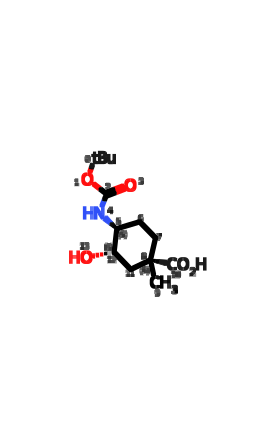 CC(C)(C)OC(=O)N[C@H]1CC[C@@](C)(C(=O)O)C[C@@H]1O